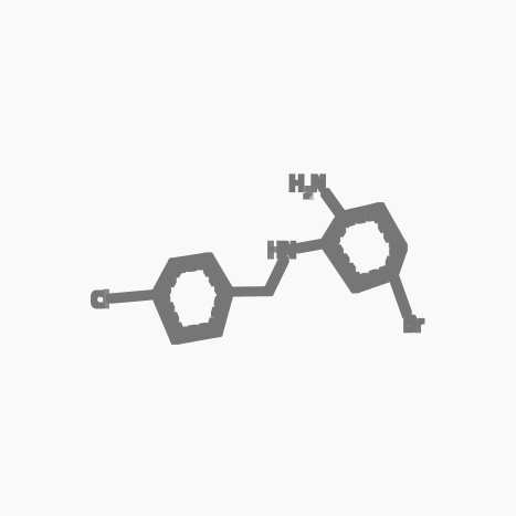 Nc1ccc(Br)cc1NCc1ccc(Cl)cc1